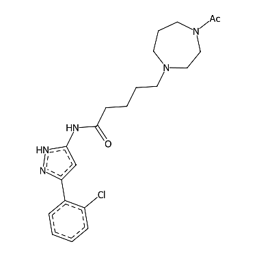 CC(=O)N1CCCN(CCCCC(=O)Nc2cc(-c3ccccc3Cl)n[nH]2)CC1